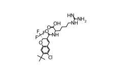 CC(C)(C)c1cc2c(cc1Cl)C=C(C(=O)NC(CCCCNC(=N)N)C(=O)O)[C@@H](C(F)(F)F)O2